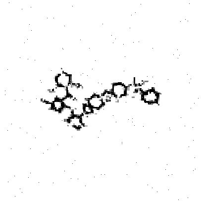 C[C@@H]1COC[C@@H](C)N1C(=O)c1cc(F)ccc1Oc1cncnc1N1CC2(CCN(C[C@@]3(O)CC[C@@H](NS(=O)(=O)c4ccccc4)CO3)CC2)C1